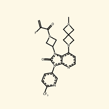 C=C(F)C(=O)N1CC(n2c(=O)n(-c3ccc(C(F)(F)F)nc3)c3nccc(N4CC5(CN(C)C5)C4)c32)C1